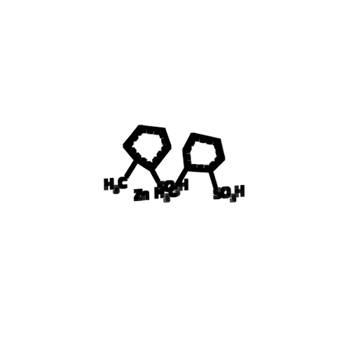 Cc1ccccc1S(=O)(=O)O.Cc1ccccc1S(=O)(=O)O.[Zn]